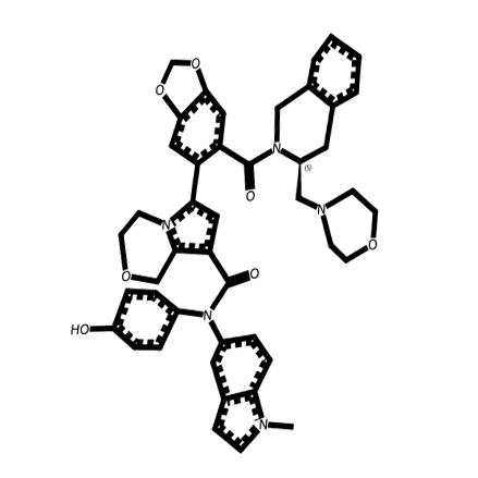 Cn1ccc2cc(N(C(=O)c3cc(-c4cc5c(cc4C(=O)N4Cc6ccccc6C[C@H]4CN4CCOCC4)OCO5)n4c3COCC4)c3ccc(O)cc3)ccc21